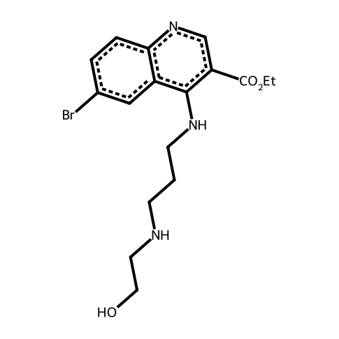 CCOC(=O)c1cnc2ccc(Br)cc2c1NCCCNCCO